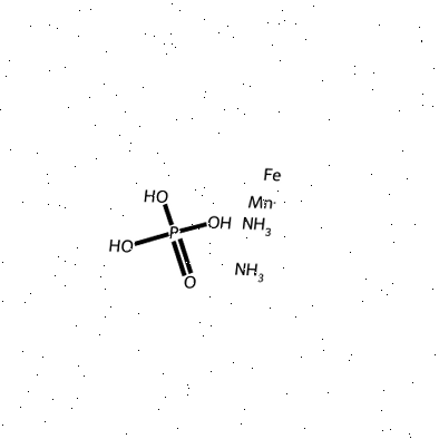 N.N.O=P(O)(O)O.[Fe].[Mn]